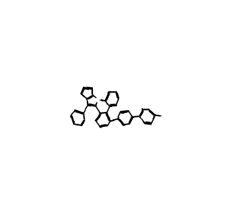 Cc1ccc(-c2ccc(-c3cccc4c3c3ccccc3n3c5c(c(-c6ccccc6)c43)C=C=C5)cc2)c(C)c1